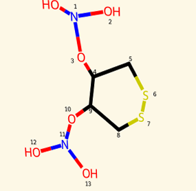 ON(O)OC1CSSCC1ON(O)O